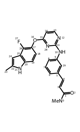 CNC(=O)C=Cc1cccc(Nc2nccc(Oc3ccc4[nH]c(C)cc4c3F)n2)c1